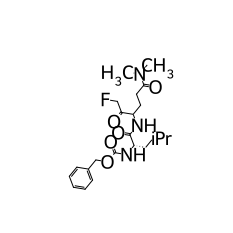 CC(C)C[C@H](NC(=O)OCc1ccccc1)C(=O)NC(CCC(=O)N(C)C)C(=O)CF